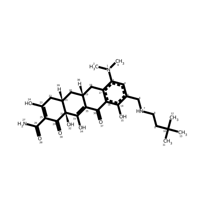 CN(C)c1cc(CNCCC(C)(C)C)c(O)c2c1C[C@H]1C[C@H]3CC(O)=C(C(N)=O)C(=O)[C@@]3(O)C(O)=C1C2=O